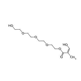 CC(=CO)C(=O)OCCOCCOCCOCCO